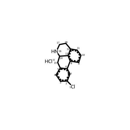 Cl.Clc1ccc2c(c1)-c1cccc3c1C(C2)NCC3